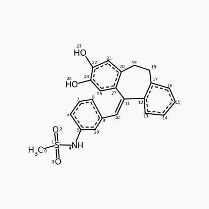 CS(=O)(=O)Nc1cccc(C=C2c3ccccc3CCc3cc(O)c(O)cc32)c1